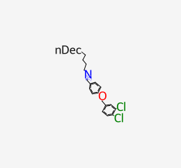 CCCCCCCCCCCCCC/N=C/c1ccc(OCc2ccc(Cl)c(Cl)c2)cc1